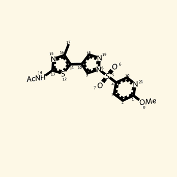 COc1ccc(S(=O)(=O)n2cc(-c3sc(NC(C)=O)nc3C)cn2)cn1